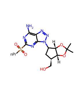 CCCS(=O)(=O)c1nc(N)c2nnn(C3C[C@H](CO)[C@H]4OC(C)(C)O[C@@H]34)c2n1